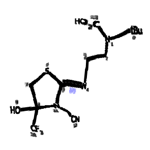 CC(C)(C)N(CC/N=C1\SCC(O)(C(F)(F)F)N1C#N)C(=O)O